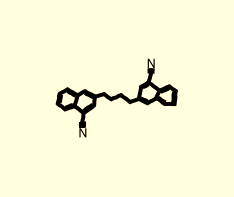 N#Cc1cc(CCCCc2cc(C#N)c3ccccc3c2)cc2ccccc12